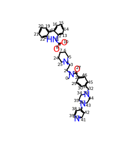 CN(CCN1CCC(OC(=O)Nc2ccccc2-c2ccccc2)CC1)C(=O)c1ccc(CN2CCN(c3ccncc3)CC2)cc1